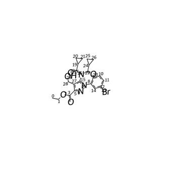 CCOC(=O)c1nn(-c2cccc(Br)c2)c(N(C(=O)C2CC2)C(=O)C2CC2)c1CO